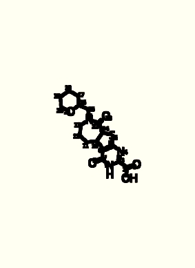 O=C(O)c1nc2c(c(=O)[nH]1)C1CCCN(CC3CCCCO3)C(=O)C1S2